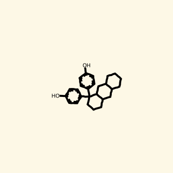 Oc1ccc(C2(c3ccc(O)cc3)CCCC3CC4CCCCC4CC32)cc1